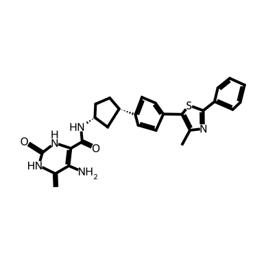 C=C1NC(=O)NC(C(=O)N[C@@H]2CC[C@H](c3ccc(-c4sc(-c5ccccc5)nc4C)cc3)C2)=C1N